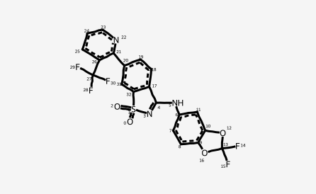 O=S1(=O)N=C(Nc2ccc3c(c2)OC(F)(F)O3)c2ccc(-c3ncccc3C(F)(F)F)cc21